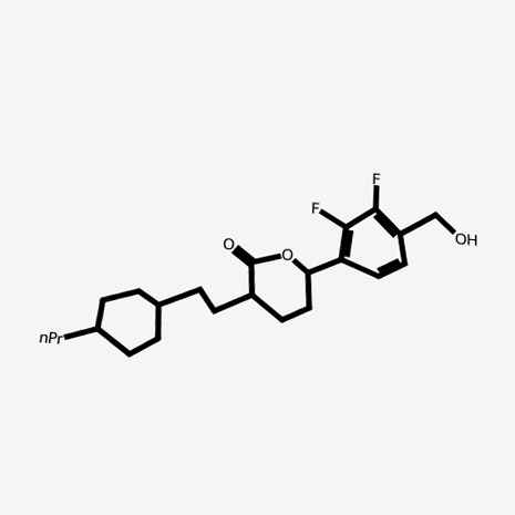 CCCC1CCC(CCC2CCC(c3ccc(CO)c(F)c3F)OC2=O)CC1